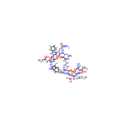 CC(C)C[C@H](NC(=O)[C@H](CCC(N)=O)NC(=O)[C@H](Cc1ccccc1)NC(=O)[C@H](Cc1c[nH]c2ccccc12)NC(=O)C[C@@H](C)O)C(=O)NCCCC[C@H](NC(C)(C)C)C(=O)N[C@@H](CO)C(=O)N[C@@H](CC(=O)O)C(=O)N[C@H](C(N)=O)[C@@H](C)O